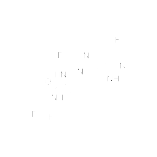 O=C(NCC(F)F)C1(Nc2nc(C3CNc4ncc(F)cc43)ncc2F)CC1